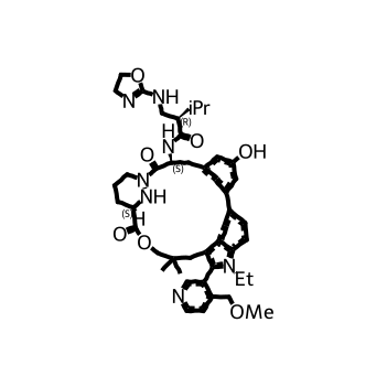 CCn1c(-c2cnccc2COC)c2c3cc(ccc31)-c1cc(O)cc(c1)C[C@H](NC(=O)[C@@H](CNC1=NCCO1)C(C)C)C(=O)N1CCC[C@H](N1)C(=O)OCC(C)(C)C2